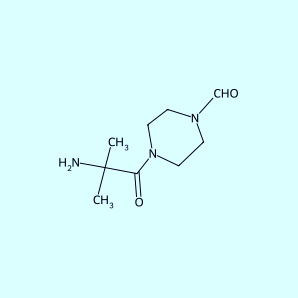 CC(C)(N)C(=O)N1CCN(C=O)CC1